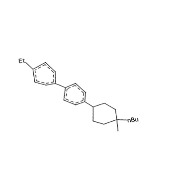 CCCCC1(C)CCC(c2ccc(-c3ccc(CC)cc3)cc2)CC1